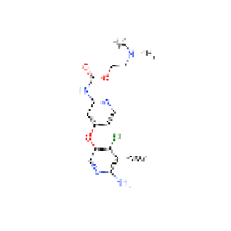 CNc1c(N)ncc(Oc2ccnc(NC(=O)OCCN(C)C)c2)c1Cl